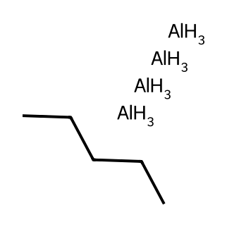 CCCCC.[AlH3].[AlH3].[AlH3].[AlH3]